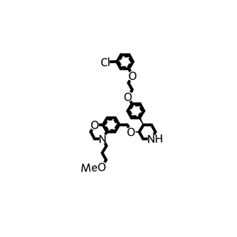 COCCCN1CCOc2ccc(CO[C@H]3CNCC[C@@H]3c3ccc(OCCOc4cccc(Cl)c4)cc3)cc21